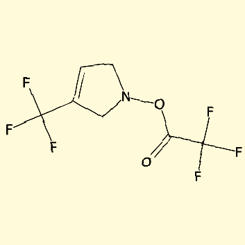 O=C(ON1CC=C(C(F)(F)F)C1)C(F)(F)F